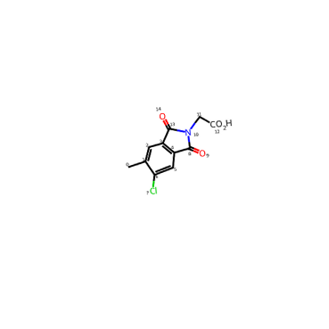 Cc1cc2c(cc1Cl)C(=O)N(CC(=O)O)C2=O